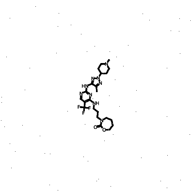 Cc1nn(C2CCN(C)CC2)nc1Nc1ncc(C(F)(F)F)c(NCCCN2CCCCOC2=O)n1